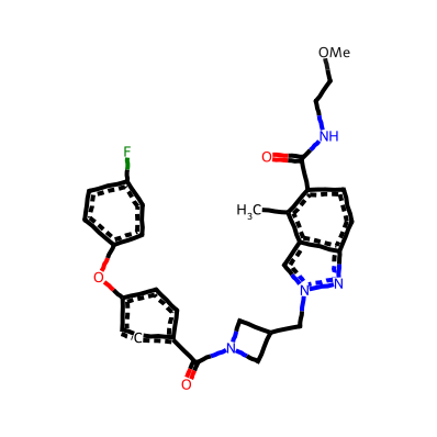 COCCNC(=O)c1ccc2nn(CC3CN(C(=O)c4ccc(Oc5ccc(F)cc5)cc4)C3)cc2c1C